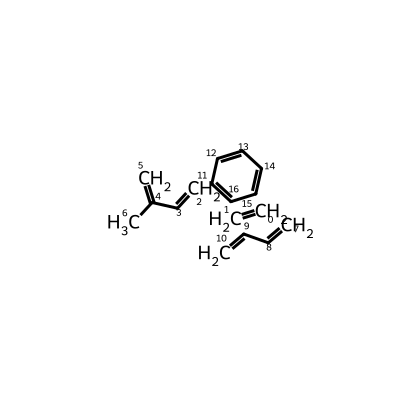 C=C.C=CC(=C)C.C=CC=C.c1ccccc1